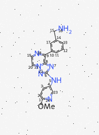 COc1ccc(Nc2nc3c(-c4cccc(CN)c4)nccn3n2)cn1